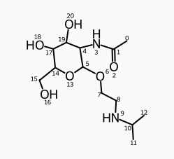 CC(=O)NC1C(OCCNC(C)C)OC(CO)C(O)C1O